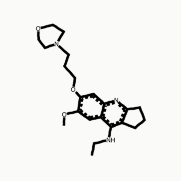 CCNc1c2c(nc3cc(OCCCN4CCOCC4)c(OC)cc13)CCC2